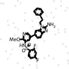 COc1ncc(-c2ccc3nc(N)n(CCc4ccccc4)c3c2)cc1NS(=O)(=O)c1ccc(F)cc1F